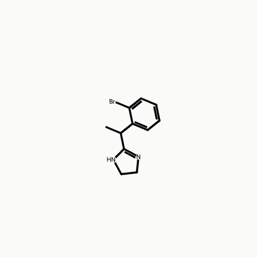 CC(C1=NCCN1)c1ccccc1Br